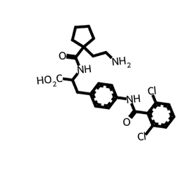 NCCC1(C(=O)NC(Cc2ccc(NC(=O)c3c(Cl)cccc3Cl)cc2)C(=O)O)CCCC1